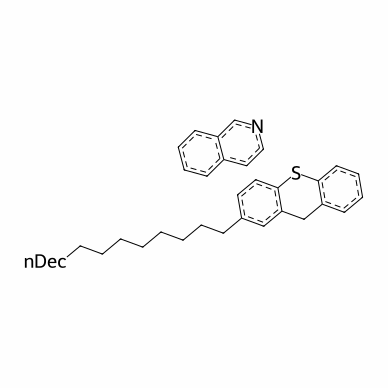 CCCCCCCCCCCCCCCCCCc1ccc2c(c1)Cc1ccccc1S2.c1ccc2cnccc2c1